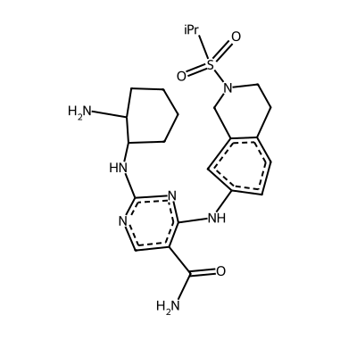 CC(C)S(=O)(=O)N1CCc2ccc(Nc3nc(NC4CCCCC4N)ncc3C(N)=O)cc2C1